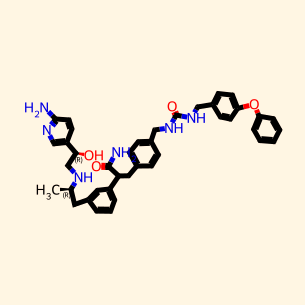 C[C@H](Cc1cccc(C(Cc2ccc(CNC(=O)NCc3ccc(Oc4ccccc4)cc3)cc2)C(N)=O)c1)NC[C@H](O)c1ccc(N)nc1